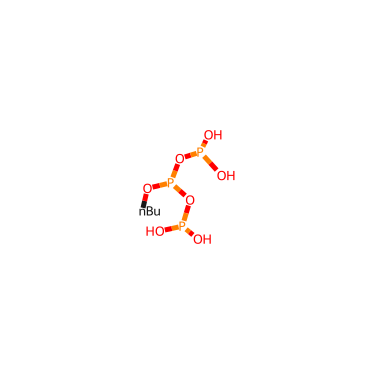 CCCCOP(OP(O)O)OP(O)O